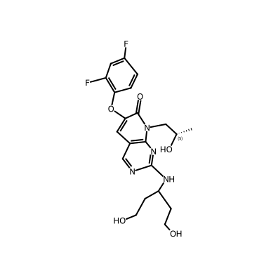 C[C@H](O)Cn1c(=O)c(Oc2ccc(F)cc2F)cc2cnc(NC(CCO)CCO)nc21